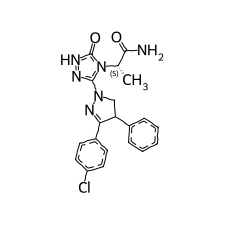 C[C@@H](C(N)=O)n1c(N2CC(c3ccccc3)C(c3ccc(Cl)cc3)=N2)n[nH]c1=O